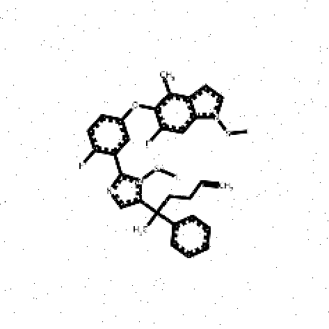 C=CCCC(C)(c1ccccc1)c1cnc(-c2cc(Oc3c(F)cc4c(ccn4SI)c3C)ccc2F)n1SI